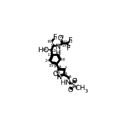 CS(=O)(=O)NCc1cc(-c2ccc([C@@H](O)[C@H](CF)NC(=O)C(F)F)cc2)on1